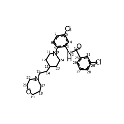 O=C(Nc1cc(Cl)ccc1N1CCC(CCN2CCCOCC2)CC1)c1cccc(Cl)c1